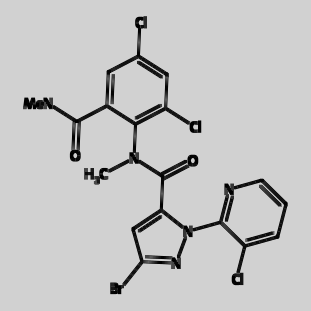 CNC(=O)c1cc(Cl)cc(Cl)c1N(C)C(=O)c1cc(Br)nn1-c1ncccc1Cl